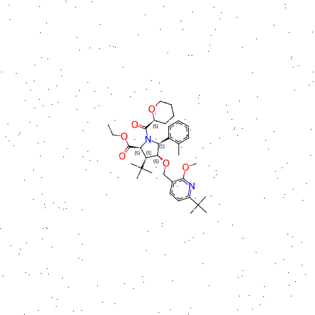 CCOC(=O)[C@@H]1[C@H](C(C)(C)C)[C@H](OCc2ccc(C(C)(C)C)nc2OC)[C@H](c2ccccc2C)N1C(=O)[C@@H]1CCCCO1